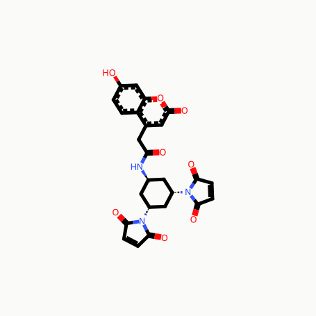 O=C(Cc1cc(=O)oc2cc(O)ccc12)N[C@@H]1C[C@@H](N2C(=O)C=CC2=O)C[C@@H](N2C(=O)C=CC2=O)C1